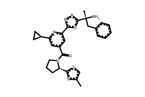 Cc1csc([C@H]2CCCN2C(=O)c2cc(-c3nnc([C@](C)(N)Cc4ccccc4)o3)nc(C3CC3)c2)n1